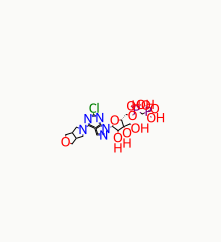 O=P(O)(O)CP(=O)(O)OC[C@H]1O[C@@H](n2ncc3c(N4CC5COCC5C4)nc(Cl)nc32)[C@H](O)C1(O)CO